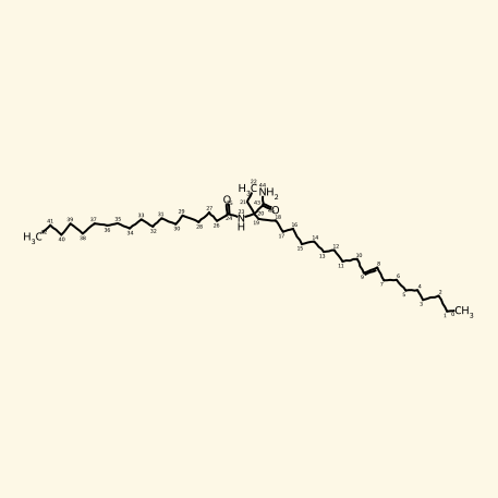 CCCCCCCCC=CCCCCCCCCCCC(CC)(NC(=O)CCCCCCCCCCCCCCCCC)C(N)=O